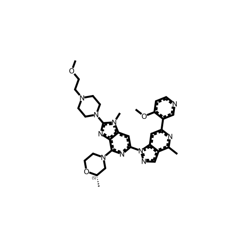 COCCN1CCN(c2nc3c(N4CCO[C@@H](C)C4)nc(-n4ncc5c(C)nc(-c6cnccc6OC)cc54)cc3n2C)CC1